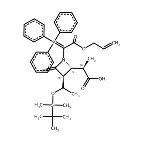 C=CCOC(=O)C(N1C(=O)[C@H](C(C)O[Si](C)(C)C(C)(C)C)[C@H]1[C@@H](C)C(=O)O)=P(c1ccccc1)(c1ccccc1)c1ccccc1